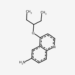 CCC(CC)Oc1ccnc2ccc(N)cc12